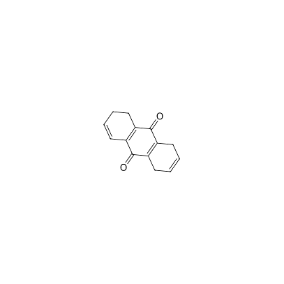 O=C1C2=C(CCC=C2)C(=O)C2=C1CC=CC2